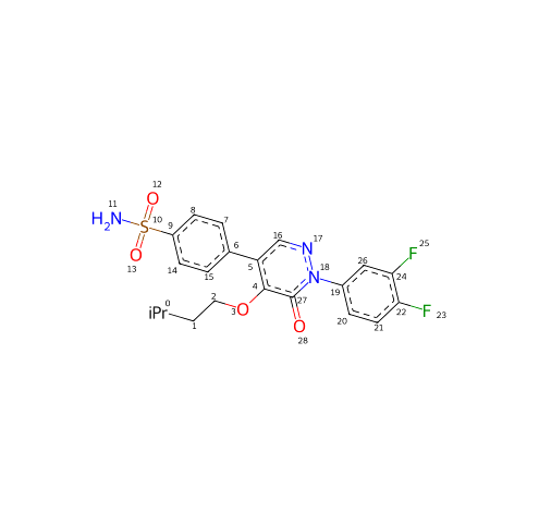 CC(C)CCOc1c(-c2ccc(S(N)(=O)=O)cc2)cnn(-c2ccc(F)c(F)c2)c1=O